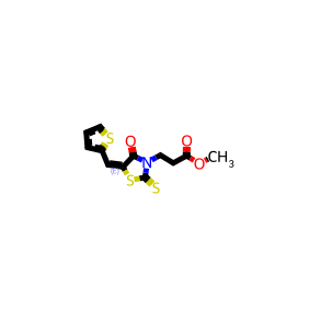 COC(=O)CCN1C(=O)/C(=C\c2cccs2)SC1=S